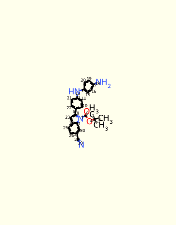 CC(C)(C)OC(=O)n1c(-c2ccc(Nc3ccc(N)cc3)cc2)cc2ccc(C#N)cc21